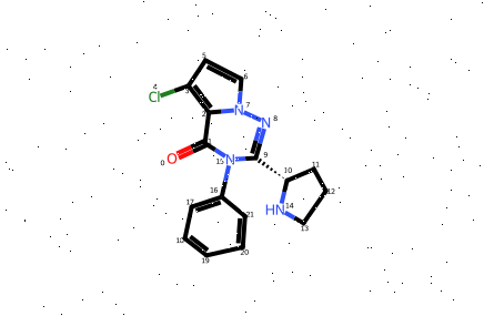 O=c1c2c(Cl)ccn2nc([C@@H]2CCCN2)n1-c1ccccc1